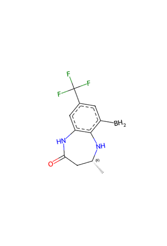 Bc1cc(C(F)(F)F)cc2c1N[C@H](C)CC(=O)N2